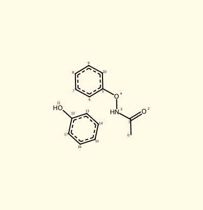 CC(=O)NOc1ccccc1.Oc1ccccc1